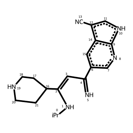 CC(C)N/C(=C\C(=N)c1cnc2[nH]cc(C#N)c2c1)C1CCNCC1